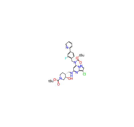 CC(C)(C)OC(=O)N1CC[C@H](CNc2cc(N(Cc3ccc(-c4ccccn4)cc3F)C(=O)OC(C)(C)C)n3ncc(Cl)c3n2)[C@@H](O)C1